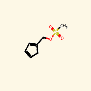 CS(=O)(=O)OCC1=CC=CC1